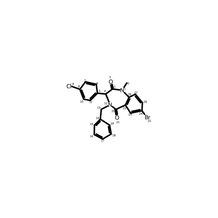 CN1C(=O)C(c2ccc(Cl)cc2)N(Cc2ccccc2)C(=O)c2cc(Br)ccc21